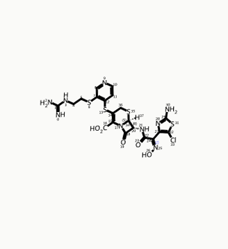 N=C(N)NCCSc1cnccc1SC1=C(C(=O)O)N2C(=O)[C@@H](NC(=O)/C(=N\O)c3nc(N)sc3Cl)[C@@H]2SC1